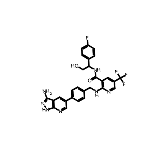 Nc1n[nH]c2ncc(-c3ccc(CNc4ncc(C(F)(F)F)cc4C(=O)NC(CO)c4ccc(F)cc4)cc3)cc12